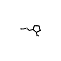 CC(C)C1CCCC1COO